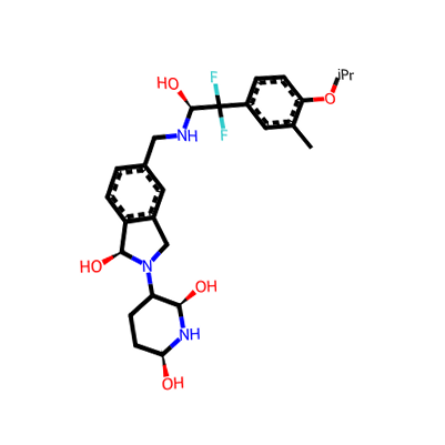 Cc1cc(C(F)(F)[C@H](O)NCc2ccc3c(c2)CN(C2CC[C@H](O)N[C@@H]2O)[C@H]3O)ccc1OC(C)C